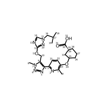 Cc1nc(-c2nnn(C)c2COc2ncn(CC(C)C)n2)ccc1OC1CCC[C@H](C(=O)O)C1